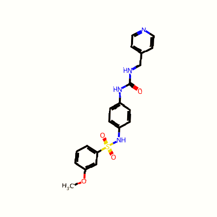 COc1cccc(S(=O)(=O)Nc2ccc(NC(=O)NCc3ccncc3)cc2)c1